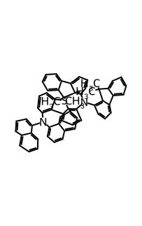 CC1(C)c2ccccc2-c2cccc(N(c3cccc4c3C(C)(C)c3ccccc3-4)c3cccc4c3sc3cccc(N(c5cccc6ccccc56)c5cccc6ccccc56)c34)c21